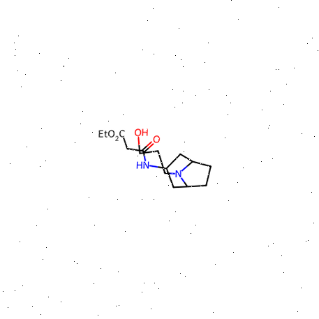 CCOC(=O)CC(=O)NC1CC2CCC(C1)N2CCCO